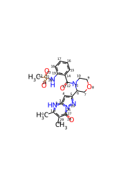 Cc1[nH]c2cc(C3COCCN3C(=O)c3ccccc3NS(C)(=O)=O)nn2c(=O)c1C